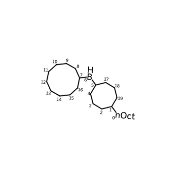 CCCCCCCCC1CCCC(BC2CCCCCCCCC2)CCC1